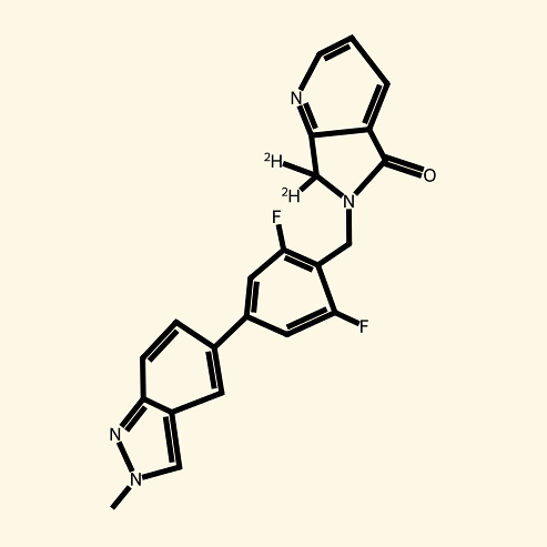 [2H]C1([2H])c2ncccc2C(=O)N1Cc1c(F)cc(-c2ccc3nn(C)cc3c2)cc1F